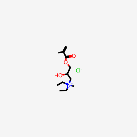 C=C(C)C(=O)OCC(O)C[N+](C)(CC)CC.[Cl-]